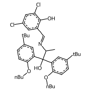 CCCCOc1ccc(C(C)(C)C)cc1C(O)(c1cc(C(C)(C)C)ccc1OCCCC)C(C)N=Cc1cc(Cl)cc(Cl)c1O